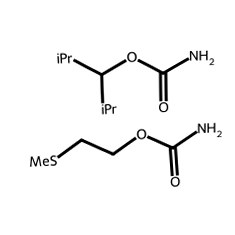 CC(C)C(OC(N)=O)C(C)C.CSCCOC(N)=O